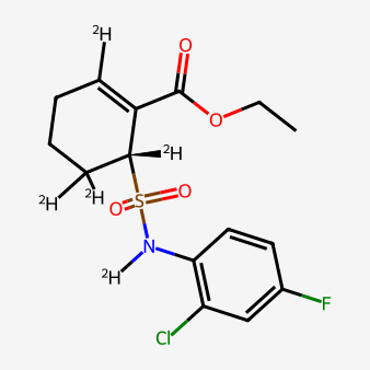 [2H]C1=C(C(=O)OCC)[C@]([2H])(S(=O)(=O)N([2H])c2ccc(F)cc2Cl)C([2H])([2H])CC1